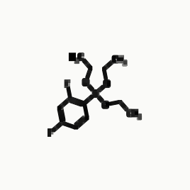 CCO[Si](OCC)(OCC)c1ccc(F)cc1F